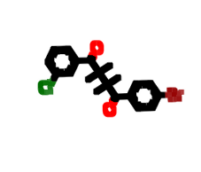 CC(C)(C(=O)c1ccc(Br)cc1)C(C)(C)C(=O)c1cccc(Cl)c1